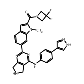 Cn1c(C(=O)N2CC(F)(F)C2)cc2ccc(-c3nc4c(c(Nc5ccc(-c6cn[nH]c6)cc5)n3)CNC4)cc21